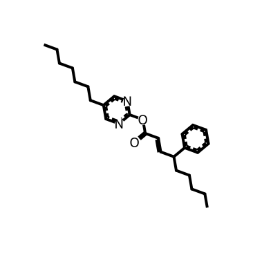 CCCCCCCc1cnc(OC(=O)/C=C/C(CCCCC)c2ccccc2)nc1